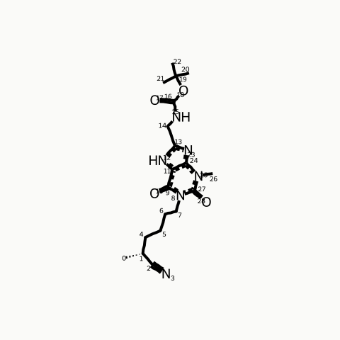 C[C@@H](C#N)CCCCn1c(=O)c2[nH]c(CNC(=O)OC(C)(C)C)nc2n(C)c1=O